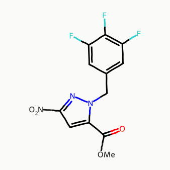 COC(=O)c1cc([N+](=O)[O-])nn1Cc1cc(F)c(F)c(F)c1